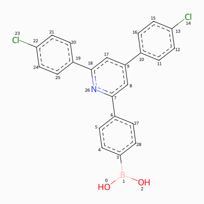 OB(O)c1ccc(-c2cc(-c3ccc(Cl)cc3)cc(-c3ccc(Cl)cc3)n2)cc1